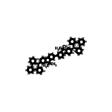 CC1(C)c2cc(-c3ccc4c(c3)C(C)(C)c3cc(N5c6ccccc6-c6ccccc6-c6ccccc65)ccc3-4)ccc2-c2ccc(N3c4ccccc4-c4ccccc4-c4ccccc43)cc21